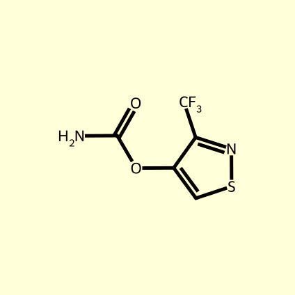 NC(=O)Oc1csnc1C(F)(F)F